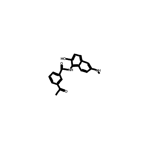 CNc1ccc2c(NC(=O)c3cccc(C(C)=O)c3)c(O)ccc2c1